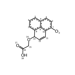 [O]c1ccc2cccc3c2c1C=CC3OCC(=O)O